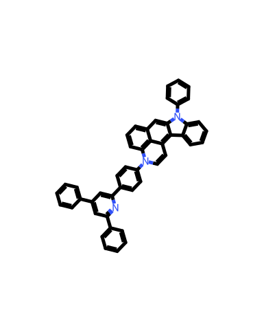 C1=CN(c2ccc(-c3cc(-c4ccccc4)cc(-c4ccccc4)n3)cc2)c2cccc3cc4c(c1c23)c1ccccc1n4-c1ccccc1